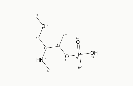 CNC(COC)C(C)OP(C)(=O)O